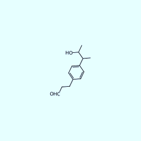 CC(O)C(C)c1ccc(CCC=O)cc1